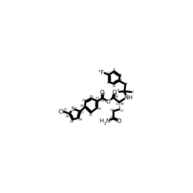 CC(C)(Cc1ccc(F)cc1)N[C@H](CCC(N)=O)C(=O)OC(=O)c1ccc(-c2ccc(Cl)s2)cc1